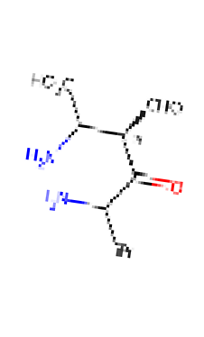 CC(C)C(N)C(=O)[C@H](C=O)C(N)C(=O)O